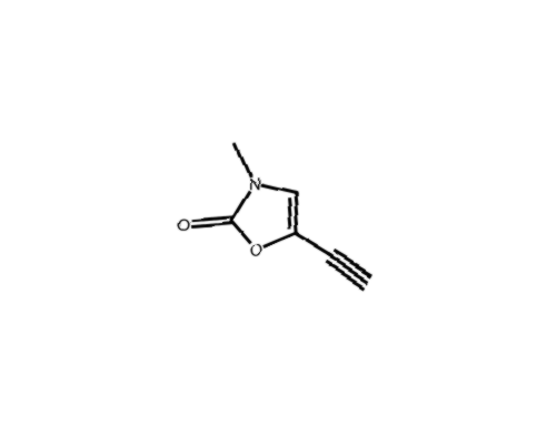 C#Cc1cn(C)c(=O)o1